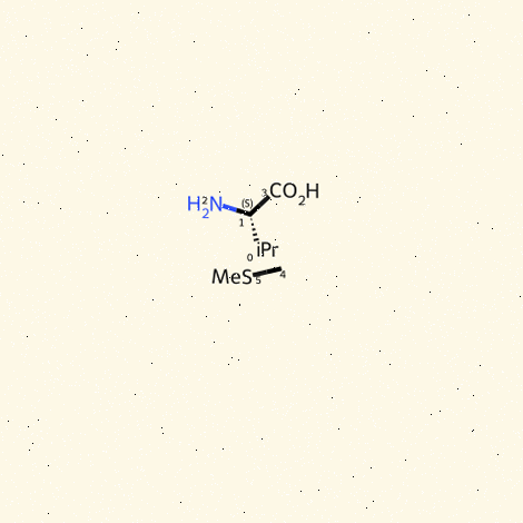 CC(C)[C@H](N)C(=O)O.CSC